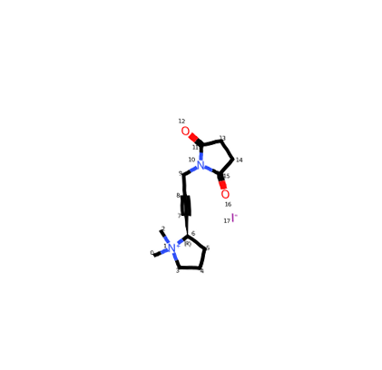 C[N+]1(C)CCC[C@@H]1C#CCN1C(=O)CCC1=O.[I-]